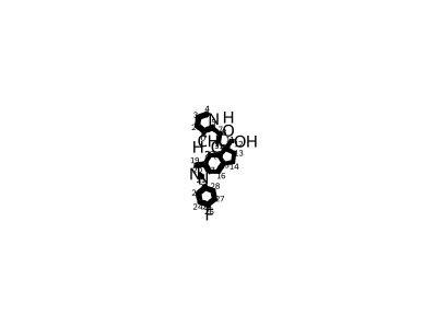 Cc1cccnc1C(O)C[C@]1(CO)CCC2=Cc3c(cnn3-c3ccc(F)cc3)C[C@@]21C